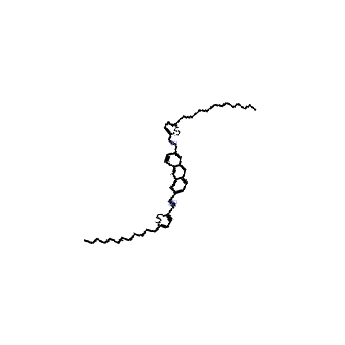 CCCCCCCCCCCCc1ccc(/C=C/c2ccc3cc4cc(/C=C/c5ccc(CCCCCCCCCCCC)s5)ccc4cc3c2)s1